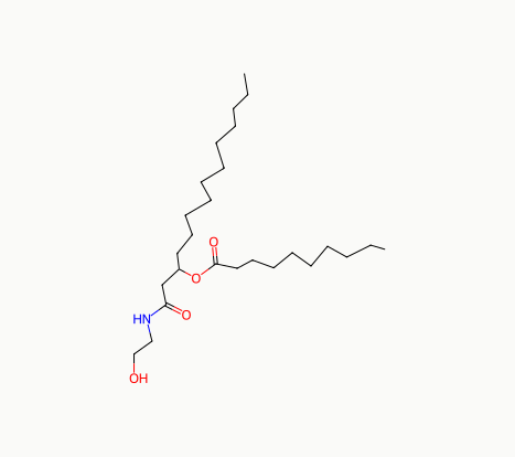 CCCCCCCCCCCC(CC(=O)NCCO)OC(=O)CCCCCCCCC